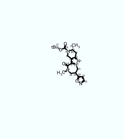 C[C@@H]1Cc2nn3c(c2CN1C(=O)OC(C)(C)C)C(=O)N(C)CC(c1ccno1)C3